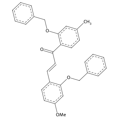 COc1ccc(/C=C/C(=O)c2ccc(C)cc2OCc2ccccc2)c(OCc2ccccc2)c1